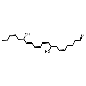 CC/C=C\CC(O)/C=C/C=C\C=C/C(O)C/C=C\CCCC=O